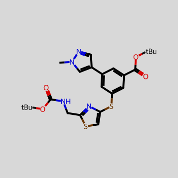 Cn1cc(-c2cc(Sc3csc(CNC(=O)OC(C)(C)C)n3)cc(C(=O)OC(C)(C)C)c2)cn1